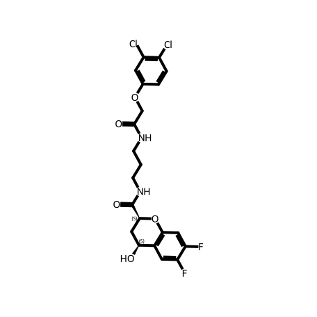 O=C(COc1ccc(Cl)c(Cl)c1)NCCCNC(=O)[C@@H]1C[C@H](O)c2cc(F)c(F)cc2O1